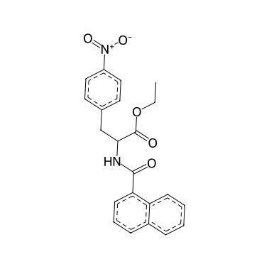 CCOC(=O)C(Cc1ccc([N+](=O)[O-])cc1)NC(=O)c1cccc2ccccc12